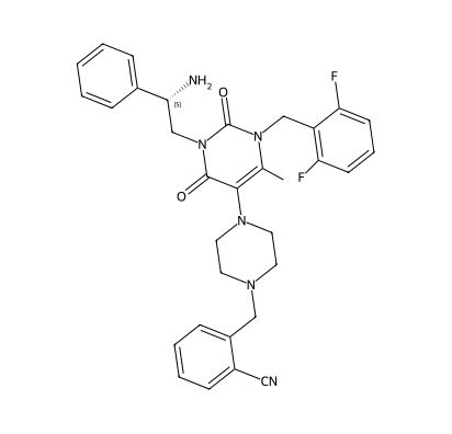 Cc1c(N2CCN(Cc3ccccc3C#N)CC2)c(=O)n(C[C@@H](N)c2ccccc2)c(=O)n1Cc1c(F)cccc1F